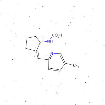 O=C(O)NC1CCCC1=Cc1ccc(C(F)(F)F)cn1